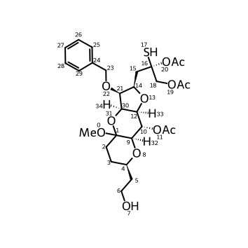 COC12CC[C@H](CCO)O[C@@H]1[C@@H](OC(C)=O)[C@@H]1O[C@H](C[C@@](S)(COC(C)=O)OC(C)=O)[C@H](OCc3ccccc3)[C@@H]1O2